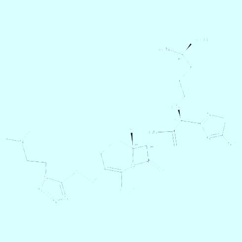 CN(C)CCn1nnnc1SCC1=C(C(=O)O)N2C(=O)[C@@H](NC(=O)[C@@H](NCCC[C@@H](N)C(=O)O)c3nsc(N)n3)[C@H]2SC1